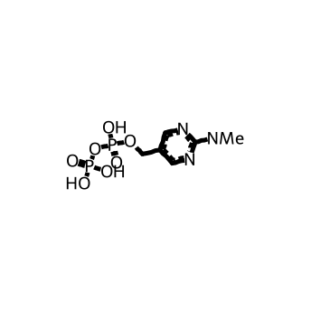 CNc1ncc(COP(=O)(O)OP(=O)(O)O)cn1